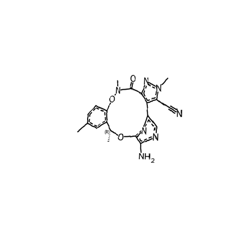 Cc1ccc2c(c1)[C@@H](C)Oc1nc(cnc1N)-c1c(nn(C)c1C#N)C(=O)N(C)O2